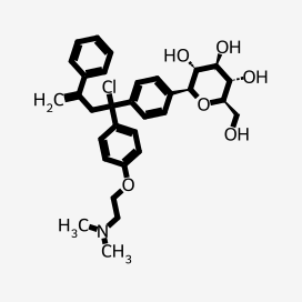 C=C(CC(Cl)(c1ccc(OCCN(C)C)cc1)c1ccc([C@@H]2O[C@H](CO)[C@@H](O)[C@H](O)[C@H]2O)cc1)c1ccccc1